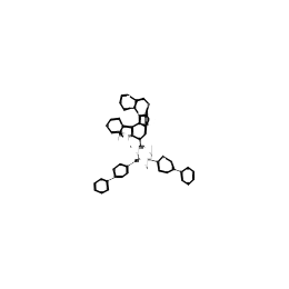 c1ccc(-c2ccc(-c3nc(-c4ccc(-c5ccccc5)cc4)nc(-c4cc5oc6ccc7ccccc7c6c5c5c4oc4ccccc45)n3)cc2)cc1